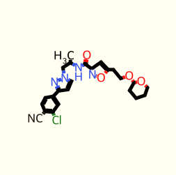 CC(Cn1ccc(-c2ccc(C#N)c(Cl)c2)n1)NC(=O)c1cc(CCOC2CCCCO2)on1